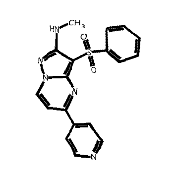 CNc1nn2ccc(-c3ccncc3)nc2c1S(=O)(=O)c1ccccc1